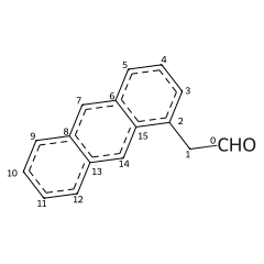 O=CCc1cccc2cc3ccccc3cc12